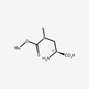 CN(C[C@H](N)C(=O)O)C(=O)OC(C)(C)C